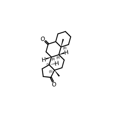 C[C@]12CCCCC1C(=O)C[C@@H]1[C@H]2CC[C@]2(C)C(=O)CC[C@@H]12